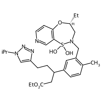 CCOC(=O)CC(CCc1cn(C(C)C)nn1)c1ccc(C)c(CN2C[C@@H](CC)Oc3ccncc3S2(O)O)c1